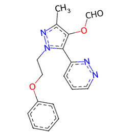 Cc1nn(CCOc2ccccc2)c(-c2cccnn2)c1OC=O